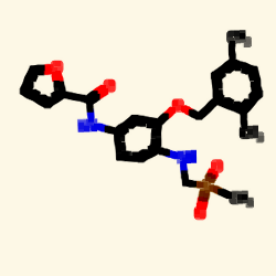 Cc1ccc(C)c(COc2cc(NC(=O)c3ccco3)ccc2NCS(C)(=O)=O)c1